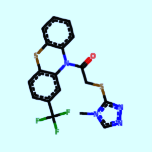 Cn1cnnc1SCC(=O)N1c2ccccc2Sc2ccc(C(F)(F)F)cc21